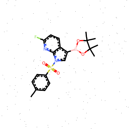 Cc1ccc(S(=O)(=O)n2cc(B3OC(C)(C)C(C)(C)O3)c3ccc(F)nc32)cc1